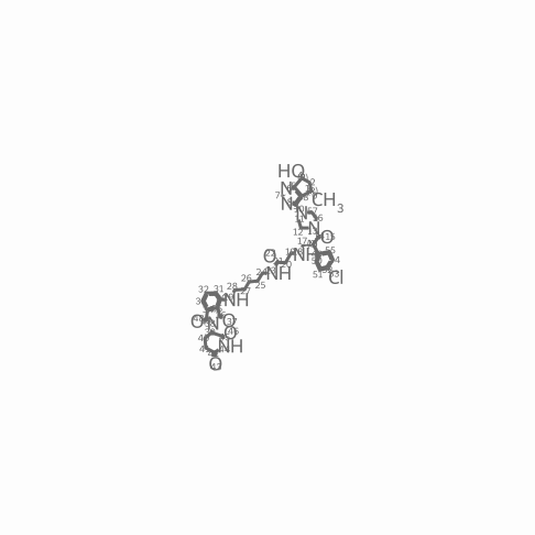 C[C@@H]1C[C@@H](O)c2ncnc(N3CCN(C(=O)[C@H](CNCCC(=O)NCCCCCNc4cccc5c4C(=O)N(C4CCC(=O)NC4=O)C5=O)c4ccc(Cl)cc4)CC3)c21